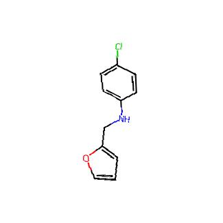 Clc1ccc(NCc2ccco2)cc1